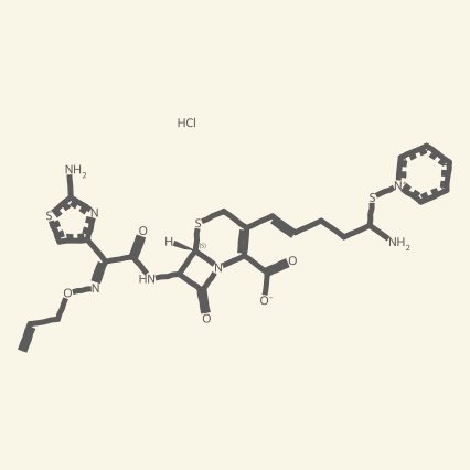 C=CCON=C(C(=O)NC1C(=O)N2C(C(=O)[O-])=C(C=CCCC(N)S[n+]3ccccc3)CS[C@@H]12)c1csc(N)n1.Cl